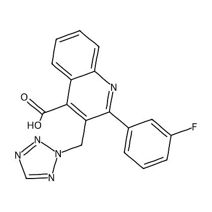 O=C(O)c1c(Cn2ncnn2)c(-c2cccc(F)c2)nc2ccccc12